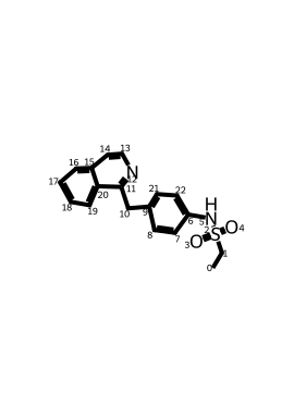 CCS(=O)(=O)Nc1ccc(Cc2nccc3ccccc23)cc1